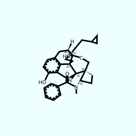 CN(C(=O)c1ccccc1)[C@H]1CC[C@]12CC[C@@]1(O)[C@H]3Cc4ccc(O)c5c4[C@@]1(CCN3CC1CC1)[C@H]2O5